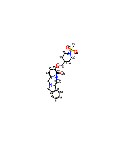 CCn1c(CN2Cc3ccccc3C2)ccc(OCC2CCN(S(C)(=O)=O)CC2)c1=O